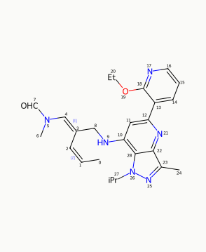 C/C=C\C(=C/N(C)C=O)CNc1cc(-c2cccnc2OCC)nc2c(C)nn(C(C)C)c12